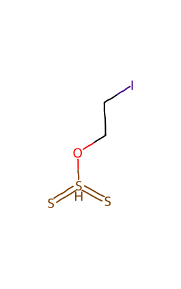 S=[SH](=S)OCCI